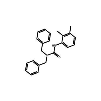 Cc1cccc(NC(=O)N(Cc2ccccc2)Cc2ccccc2)c1C